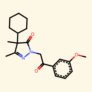 COc1cccc(C(=O)CN2N=C(C)C(C)(C3CCCCC3)C2=O)c1